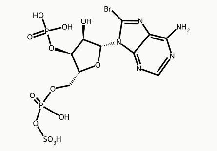 Nc1ncnc2c1nc(Br)n2[C@@H]1O[C@H](COP(=O)(O)OS(=O)(=O)O)[C@@H](OP(=O)(O)O)[C@H]1O